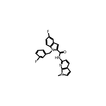 Cn1ccc2ccc(NC(=O)c3cc4cc(F)ccc4n3Cc3cccc(F)c3)nc21